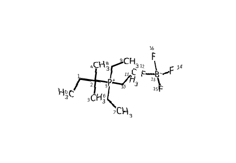 CCC(C)(C)[P+](CC)(CC)CC.F[B-](F)(F)F